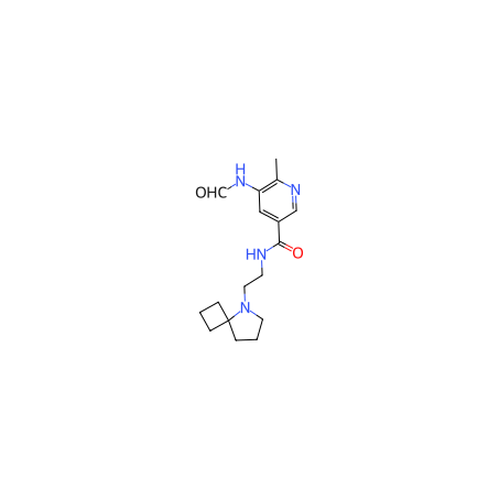 Cc1ncc(C(=O)NCCN2CCCC23CCC3)cc1NC=O